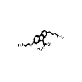 CC(C)=C1c2cc(CCCP)ccc2-c2ccc(CCCP)cc21